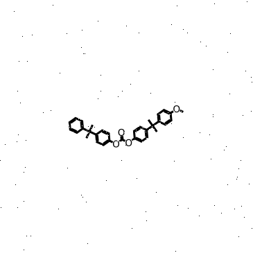 COc1ccc(C(C)(C)c2ccc(OC(=O)Oc3ccc(C(C)(C)c4ccccc4)cc3)cc2)cc1